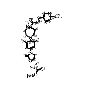 COC(=S)NC[C@H]1CN(c2cc(F)c(N3CCNN(C(=O)NCc4ccc(C(F)(F)F)nc4)CC3)c(F)c2)C(=O)O1